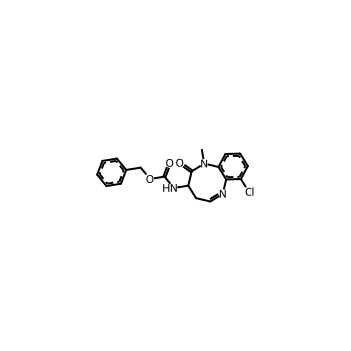 CN1C(=O)C(NC(=O)OCc2ccccc2)CC=Nc2c(Cl)cccc21